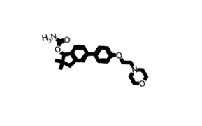 CC1(C)Cc2cc(-c3ccc(OCCN4CCOCC4)cc3)ccc2C1OC(N)=O